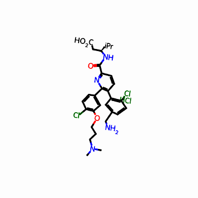 CC(C)[C@H](CC(=O)O)NC(=O)c1ccc(-c2cc(CN)ccc2Cl)c(-c2ccc(Cl)c(OCCCN(C)C)c2)n1.Cl